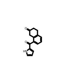 O=C1CCc2cccc(C(=O)c3ccc[nH]3)c2C1